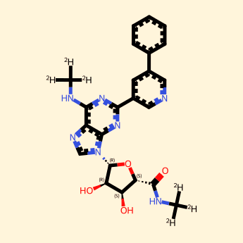 [2H]C([2H])([2H])NC(=O)[C@H]1O[C@@H](n2cnc3c(NC([2H])([2H])[2H])nc(-c4cncc(-c5ccccc5)c4)nc32)[C@H](O)[C@@H]1O